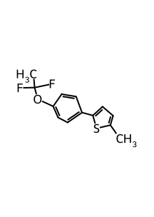 Cc1ccc(-c2ccc(OC(C)(F)F)cc2)s1